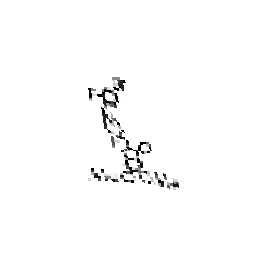 COc1cc2c(cc1OC)C(=O)C(CC1(F)CCN(Cc3ccc(Br)cc3F)CC1)C2